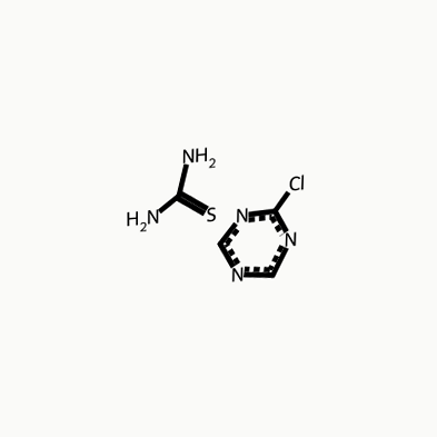 Clc1ncncn1.NC(N)=S